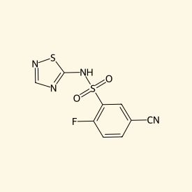 N#Cc1ccc(F)c(S(=O)(=O)Nc2ncns2)c1